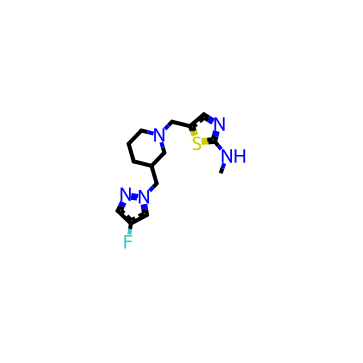 CNc1ncc(CN2CCCC(Cn3cc(F)cn3)C2)s1